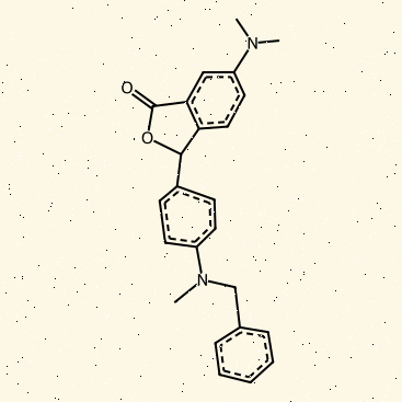 CN(C)c1ccc2c(c1)C(=O)OC2c1ccc(N(C)Cc2ccccc2)cc1